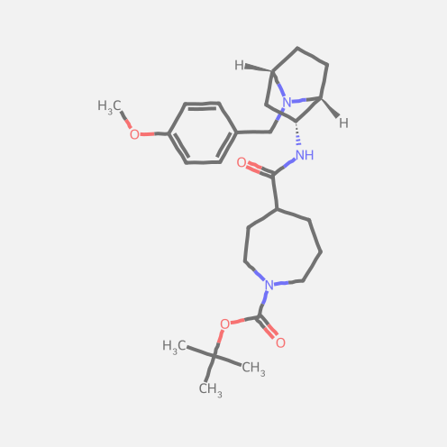 COc1ccc(CN2[C@H]3CC[C@@H]2[C@H](NC(=O)C2CCCN(C(=O)OC(C)(C)C)CC2)C3)cc1